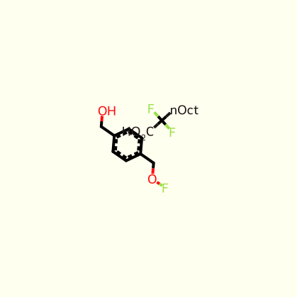 CCCCCCCCC(F)(F)C(=O)O.OCc1ccc(COF)cc1